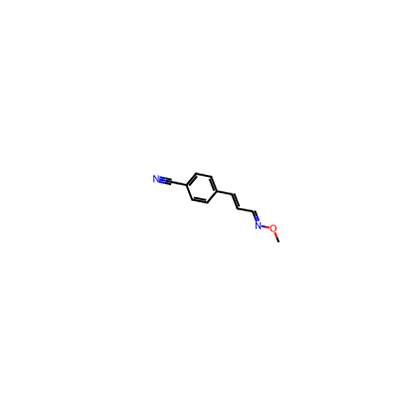 CON=C/C=C/c1ccc(C#N)cc1